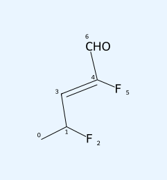 CC(F)C=C(F)C=O